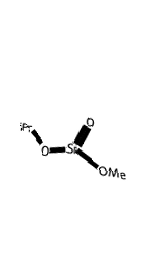 CO[Si](=O)OC(C)C